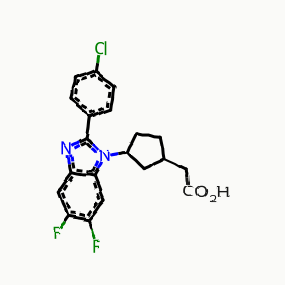 O=C(O)CC1CCC(n2c(-c3ccc(Cl)cc3)nc3cc(F)c(F)cc32)C1